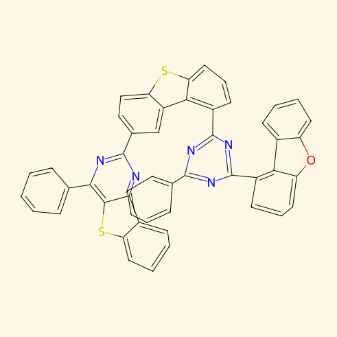 c1ccc(-c2nc(-c3cccc4oc5ccccc5c34)nc(-c3cccc4sc5ccc(-c6nc(-c7ccccc7)c7sc8ccccc8c7n6)cc5c34)n2)cc1